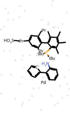 CS(=O)(=O)O.Cc1c(C)c(C)c(P(C(C)(C)C)C(C)(C)C)c(-c2c(C(C)C)cc(C(C)C)cc2C(C)C)c1C.Nc1ccccc1-c1[c-]cccc1.[Pd]